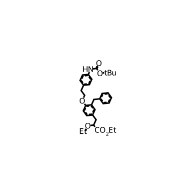 CCOC(=O)C(Cc1ccc(OCCc2ccc(NC(=O)OC(C)(C)C)cc2)c(Cc2ccccc2)c1)OCC